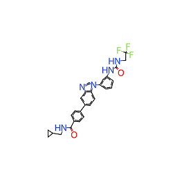 O=C(NCC(F)(F)F)Nc1cccc(-n2cnc3cc(-c4ccc(C(=O)NCC5CC5)cc4)ccc32)c1